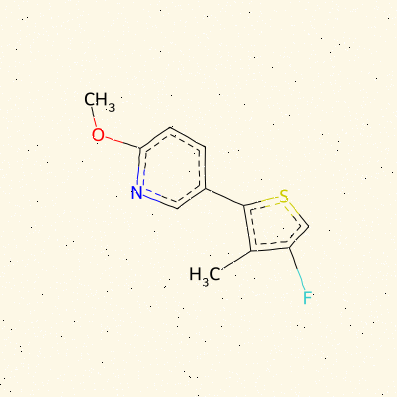 COc1ccc(-c2scc(F)c2C)cn1